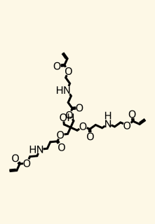 C=CC(=O)OCCNCCC(=O)OCC(CO)(COC(=O)CCNCCOC(=O)C=C)COC(=O)CCNCCOC(=O)C=C